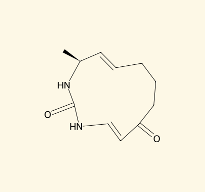 C[C@H]1/C=C/CCCC(=O)/C=C/NC(=O)N1